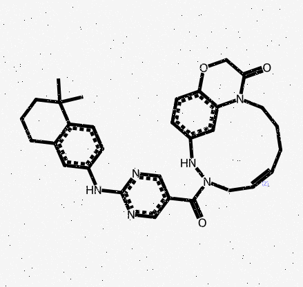 CC1(C)CCCc2cc(Nc3ncc(C(=O)N4C/C=C\CCCN5C(=O)COc6ccc(cc65)N4)cn3)ccc21